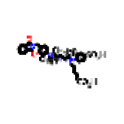 CCC\[N+](=C(C)/C=C/C=C(\C)N(CCCCCC(=O)O)c1ccc(S(=O)(=O)O)cc1C)c1ccc(CN2C(=O)c3ccccc3C2=O)cc1C